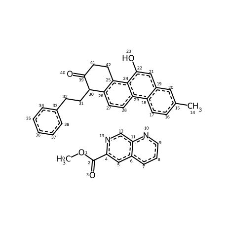 COC(=O)c1cc2cccnc2cn1.Cc1ccc2c(c1)cc(O)c1c3c(ccc12)C(CCc1ccccc1)C(=O)CC3